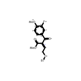 CCOC/C=C(\C(=O)OC)C(=O)c1ccc(OC)c(F)c1